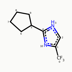 FC(F)(F)c1c[nH]c(C2CCCC2)n1